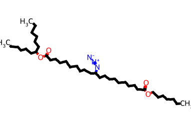 CCCCCCCOC(=O)CCCCCCCCCC(CCCCCCCCCC(=O)OC(CCCCCC)CCCCCC)N=[N+]=[N-]